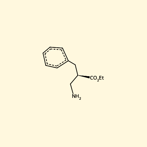 CCOC(=O)[C@@H](CN)Cc1ccccc1